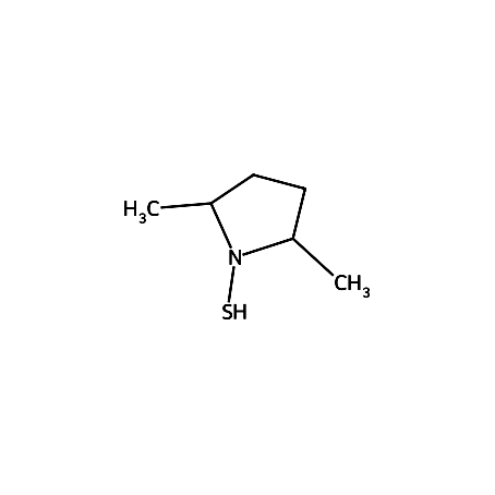 CC1CCC(C)N1S